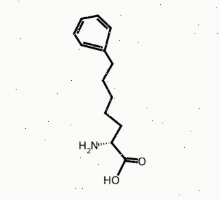 N[C@H](CCCCCc1ccccc1)C(=O)O